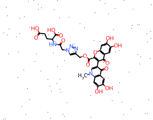 Cn1cc(-c2c(C(=O)OCc3cn(CC(=O)NC(CCC(=O)O)C(=O)O)nn3)oc3cc(O)c(O)cc3c2=O)c(=O)c2cc(O)c(O)cc21